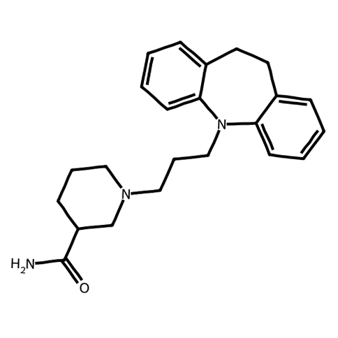 NC(=O)C1CCCN(CCCN2c3ccccc3CCc3ccccc32)C1